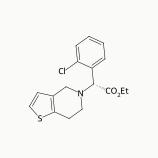 CCOC(=O)[C@@H](c1ccccc1Cl)N1CCc2sccc2C1